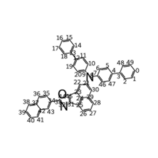 c1ccc(-c2ccc(N(c3ccc(-c4ccccc4)cc3)c3cc4c5c(cccc5c3)-c3nc(-c5ccc6ccccc6c5)oc3-4)cc2)cc1